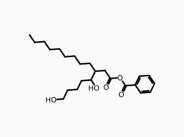 CCCCCCCCCC(CC(=O)OC(=O)c1ccccc1)C(O)CCCCO